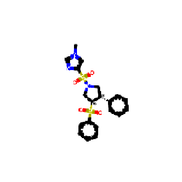 Cn1cnc(S(=O)(=O)N2C[C@H](c3ccccc3)[C@@H](S(=O)(=O)c3ccccc3)C2)c1